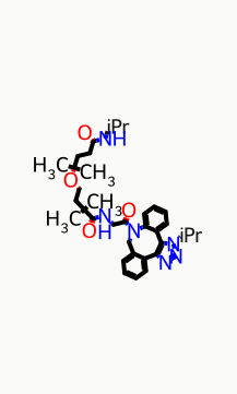 CC(C)NC(=O)CCC(C)(C)OCCC(C)(C)C(=O)NCC(=O)N1Cc2ccccc2-c2nnn(C(C)C)c2-c2ccccc21